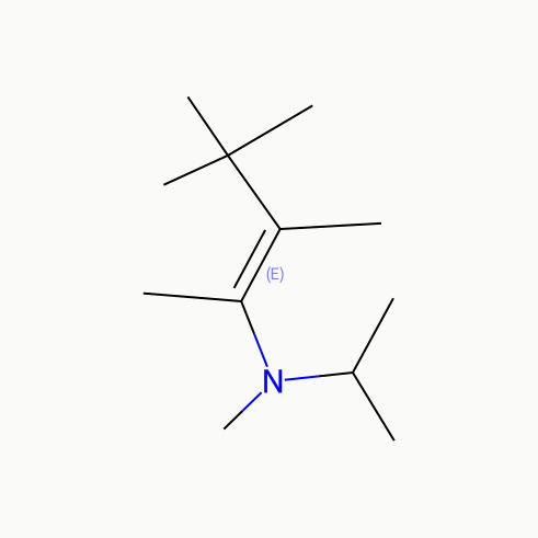 C/C(=C(/C)C(C)(C)C)N(C)C(C)C